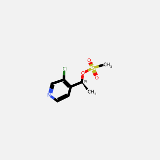 C[C@H](OS(C)(=O)=O)c1ccncc1Cl